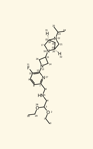 CCOC(CNCc1ccc(F)c(N2CC(N3C[C@@H]4C[C@H]3CN4C(C)C)C2)n1)OCC